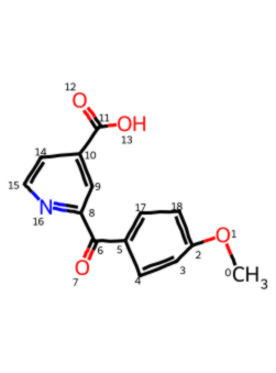 COc1ccc(C(=O)c2cc(C(=O)O)ccn2)cc1